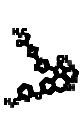 C=CC(=O)N1CC(n2cc(-c3c4c5c(ncnc5n3C)NCc3cc(Oc5cccc(C)n5)ccc3-4)cn2)C1